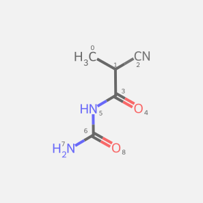 CC(C#N)C(=O)NC(N)=O